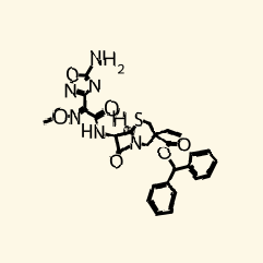 C=CC1(C(=O)OC(c2ccccc2)c2ccccc2)CS[C@@H]2C(NC(=O)C(=NOC)c3noc(N)n3)C(=O)N2C1